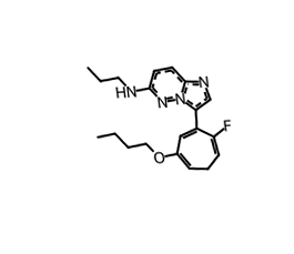 CCCCOC1=CCC=C(F)C(c2cnc3ccc(NCCC)nn23)=C1